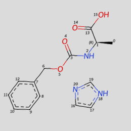 C[C@@H](NC(=O)OCc1ccccc1)C(=O)O.c1c[nH]cn1